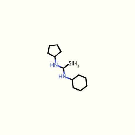 [SiH3]C(NC1CCCCC1)NC1CCCC1